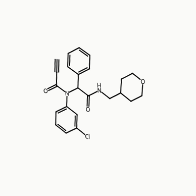 C#CC(=O)N(c1cccc(Cl)c1)C(C(=O)NCC1CCOCC1)c1ccccc1